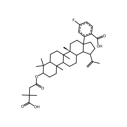 C=C(C)C1CCC2(c3cc(F)ccc3C(=O)O)CC[C@]3(C)C(CCC4C5(C)CCC(OC(=O)CC(C)(C)C(=O)O)C(C)(C)C5CCC43C)C12